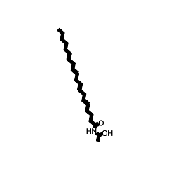 CCCCCC=CCC=CCC=CCC=CCCCC(=O)NC(C)O